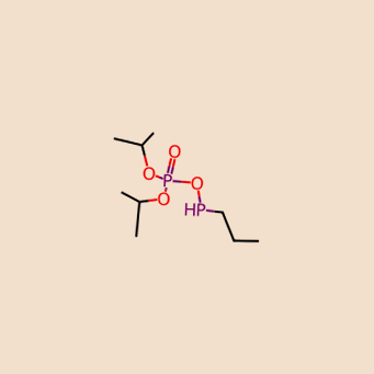 CCCPOP(=O)(OC(C)C)OC(C)C